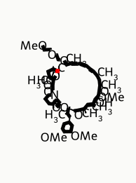 COCCOCCOC1C[C@@H]2CC[C@@H](C)[C@@](O)(O2)C(=O)C(=O)N2CCCC[C@H]2C(=O)O[C@H]([C@H](C)C[C@@H]2CC[C@@H](OC)[C@H](OC)C2)CC(=O)[C@H](C)/C=C(\C)[C@@H](O)[C@@H](OC)C(=O)[C@H](C)C[C@H](C)/C=C/C=C/C=C/1C